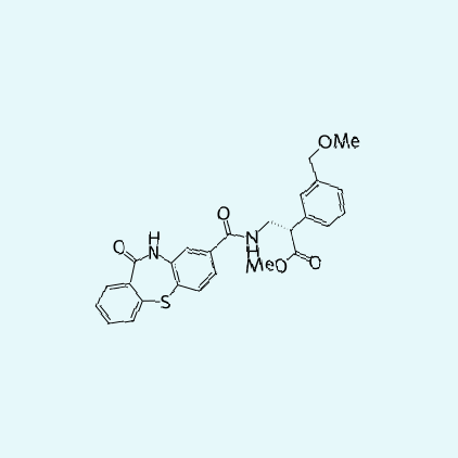 COCc1cccc([C@@H](CNC(=O)c2ccc3c(c2)NC(=O)c2ccccc2S3)C(=O)OC)c1